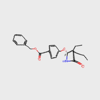 CCC1(CC)C(=O)N[C@@H]1Oc1ccc(C(=O)OCc2ccccc2)cc1